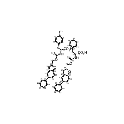 O=C(NC(Cc1ccc(F)cc1)C(=O)O)OCc1cc2cc(-c3cccnc3)ccc2o1.O=C(N[C@H](Cc1ccccc1)C(=O)O)OC[C@H]1Cc2cc(-c3ccccc3)ccc2O1